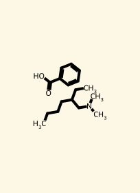 CCCCC(CC)CN(C)C.O=C(O)c1ccccc1